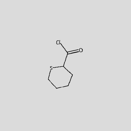 O=C(Cl)C1CCCCS1